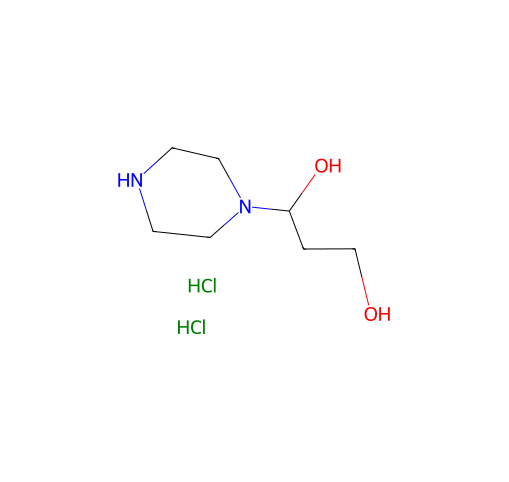 Cl.Cl.OCCC(O)N1CCNCC1